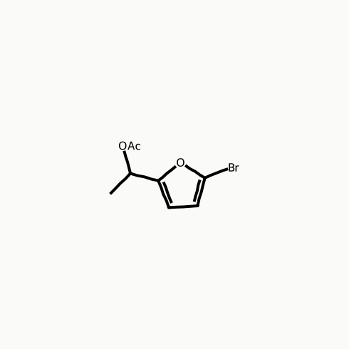 CC(=O)OC(C)c1ccc(Br)o1